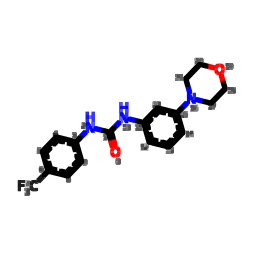 O=C(Nc1ccc(C(F)(F)F)cc1)Nc1cccc(N2CCOCC2)c1